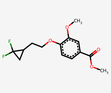 COC(=O)c1ccc(OCCC2CC2(F)F)c(OC)c1